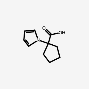 O=C(O)C1(n2cccc2)CCCC1